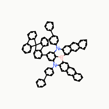 c1ccc(-c2ccc(N3c4cc5cc6ccccc6cc5cc4B4c5cc6cc7ccccc7cc6cc5N(c5ccc(-c6ccccc6)cc5)c5cc(-c6cccc7c6-c6ccccc6C76c7ccccc7-c7ccccc76)cc3c54)cc2)cc1